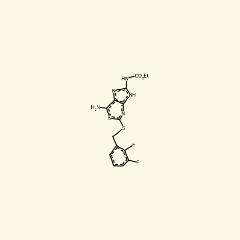 CCOC(=O)Nc1nc2c(N)nc(SCc3cccc(F)c3F)nc2[nH]1